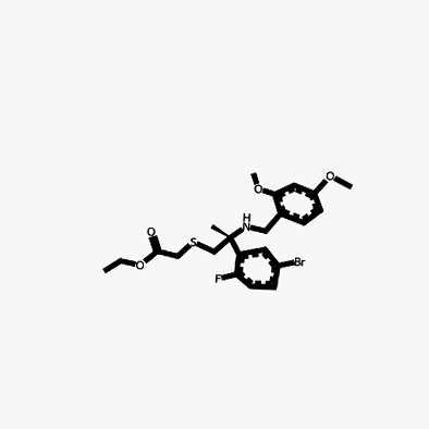 CCOC(=O)CSC[C@](C)(NCc1ccc(OC)cc1OC)c1cc(Br)ccc1F